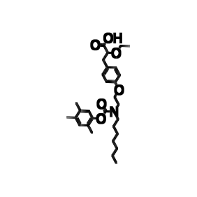 CCCCCCCN(CCOc1ccc(CC(OCC)C(=O)O)cc1)C(=O)Oc1cc(C)c(C)cc1C